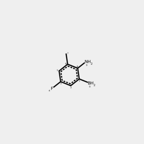 Bc1cc(F)cc(C)c1N